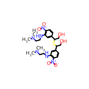 CN(C)CCNc1cc(C(CO)SC(CO)c2ccc([N+](=O)[O-])c(NCCN(C)C)c2)ccc1[N+](=O)[O-]